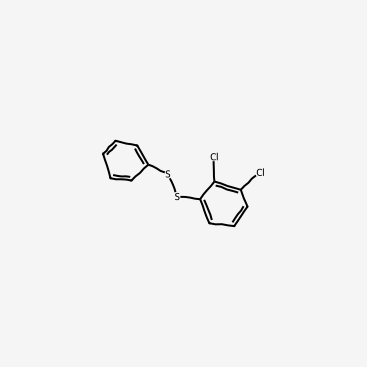 Clc1cccc(SSc2ccccc2)c1Cl